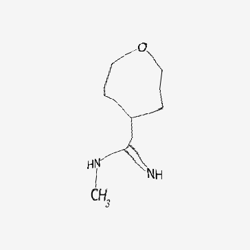 CNC(=N)C1CCOCC1